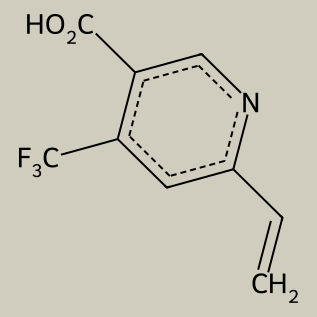 C=Cc1cc(C(F)(F)F)c(C(=O)O)cn1